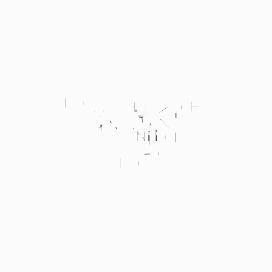 CCOC(=O)N1CCC(NCC(C)=O)(C(=O)Nc2c(C)cc(C)cc2C)CC1